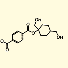 O=C(O)c1ccc(C(=O)OC2(CO)CCC(CO)CC2)cc1